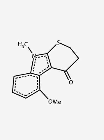 COc1cccc2c1c1c(n2C)SCCC1=O